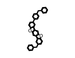 c1ccc(Cc2ccc(-c3ccc4oc5cc6c(cc5c4c3)oc3ccc(Cc4ccccc4)cc36)cc2)cc1